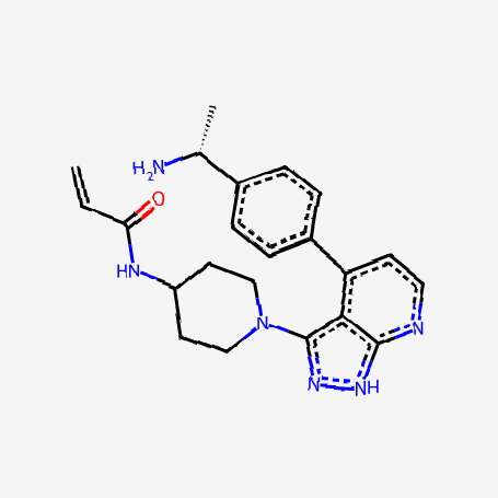 C=CC(=O)NC1CCN(c2n[nH]c3nccc(-c4ccc([C@@H](C)N)cc4)c23)CC1